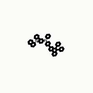 c1ccc(-c2c(-c3ccccc3)c3cc(-c4ccc(N(c5ccccc5)c5ccc6c(c5)c5ccccc5n6-c5cccc6ccccc56)cc4)ccc3c3ccccc23)cc1